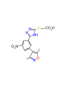 Cc1noc(C)c1-c1cc(-c2nnc(SCC(=O)O)[nH]2)cc([N+](=O)[O-])c1